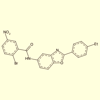 CCc1ccc(-c2nc3cc(NC(=O)c4cc([N+](=O)[O-])ccc4Br)ccc3o2)cc1